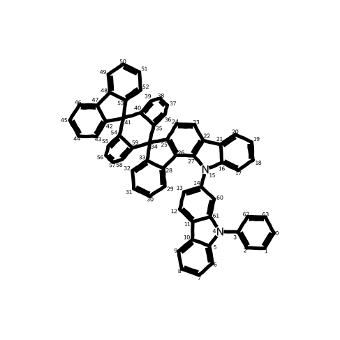 c1ccc(-n2c3ccccc3c3ccc(-n4c5ccccc5c5ccc6c(c54)-c4ccccc4C64c5ccccc5C5(c6ccccc6-c6ccccc65)c5ccccc54)cc32)cc1